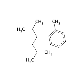 CC(C)CCC(C)C.Cc1ccccc1